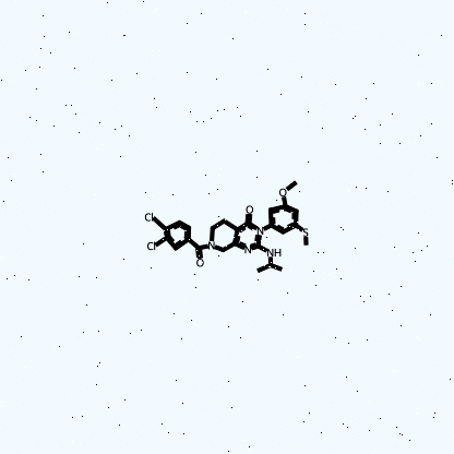 COc1cc(SC)cc(-n2c(NC(C)C)nc3c(c2=O)CCN(C(=O)c2ccc(Cl)c(Cl)c2)C3)c1